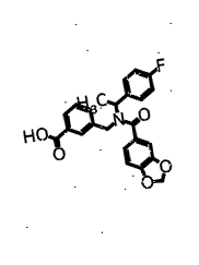 CC(c1ccc(F)cc1)N(Cc1cccc(C(=O)O)c1)C(=O)c1ccc2c(c1)OCO2